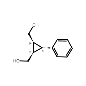 OC[C@@H]1[C@H](CO)[C@H]1c1ccccc1